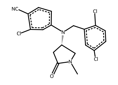 CN1C[C@@H](N(Cc2cc(Cl)ccc2Cl)c2ccc(C#N)c(Cl)c2)CC1=O